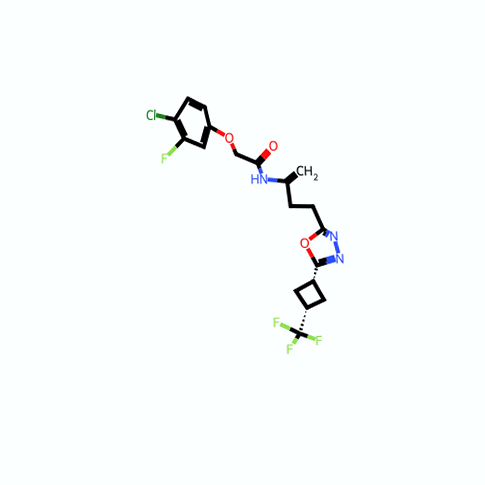 C=C(CCc1nnc([C@H]2C[C@@H](C(F)(F)F)C2)o1)NC(=O)COc1ccc(Cl)c(F)c1